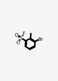 Cc1c(Br)cccc1S(=O)(=O)F